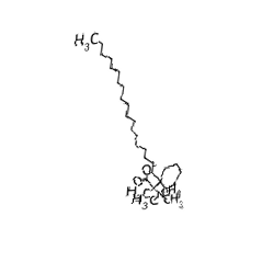 CCCCCCCCCCCCCCCCCCCC1(C(C)(C(=O)[O-])[N+](C)(C)C)CCCCC1